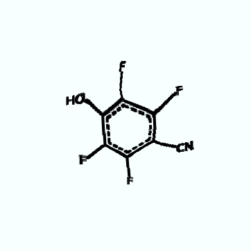 N#Cc1c(F)c(F)c(O)c(F)c1F